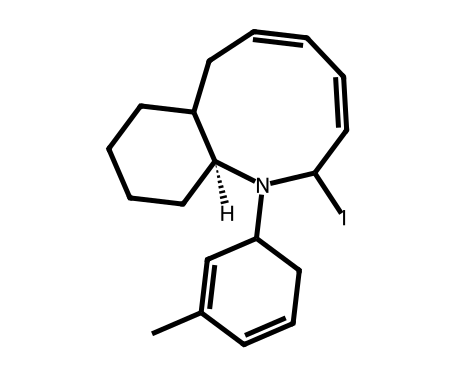 CC1=CC(N2C(I)/C=C\C=C/CC3CCCC[C@@H]32)CC=C1